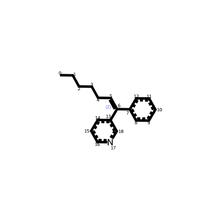 CCCCC/C=C(/c1ccccc1)c1cccnc1